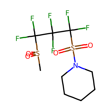 CS(=O)(=O)C(F)(F)C(F)(F)C(F)(F)S(=O)(=O)N1CCCCC1